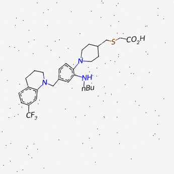 CCCCNc1cc(CN2CCCc3ccc(C(F)(F)F)cc32)ccc1N1CCC(CSCC(=O)O)CC1